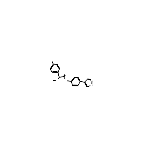 CCNC(C(=O)Nc1ccc(-c2cn[nH]c2)cc1)c1ccc(F)cc1